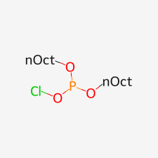 CCCCCCCCOP(OCl)OCCCCCCCC